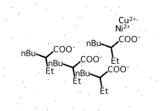 CCCCC(CC)C(=O)[O-].CCCCC(CC)C(=O)[O-].CCCCC(CC)C(=O)[O-].CCCCC(CC)C(=O)[O-].[Cu+2].[Ni+2]